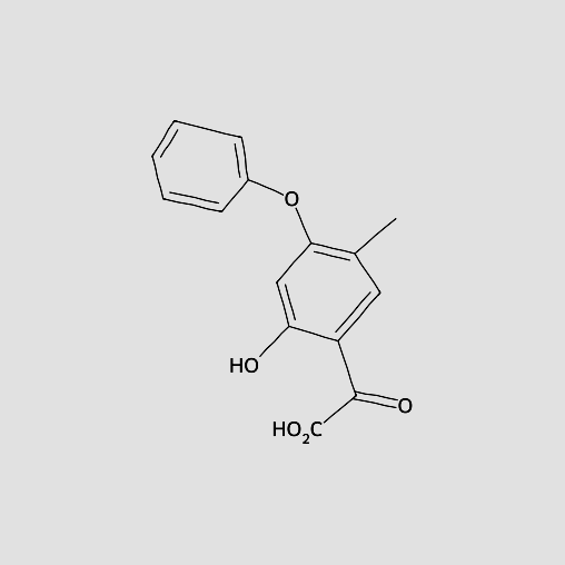 Cc1cc(C(=O)C(=O)O)c(O)cc1Oc1ccccc1